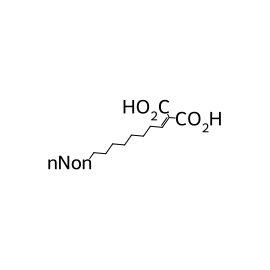 CCCCCCCCCCCCCCCCC=C(C(=O)O)C(=O)O